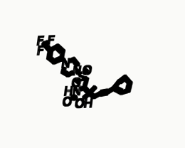 CC(C)(CC#Cc1ccccc1)C(CS(=O)(=O)N1CCN(c2ccc(C(F)(F)F)cc2)CC1)NC(=O)O